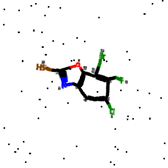 Fc1c(Cl)cc2nc(S)oc2c1Br